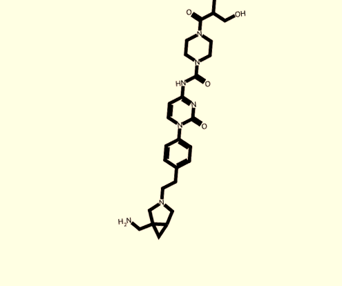 CC(CO)C(=O)N1CCN(C(=O)Nc2ccn(-c3ccc(CCN4CC5CC5(CN)C4)cc3)c(=O)n2)CC1